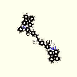 CC/C(=C\CCc1ccc(-c2ccc(N(c3ccccc3)c3ccc4c(c3)C3(c5ccccc5-c5ccccc53)c3ccccc3-4)cc2C)cc1)c1ccc(-c2ccc(Nc3ccc4c(c3)C3(C5=C(C=CCC5)c5ccccc53)c3ccccc3-4)cc2C)cc1